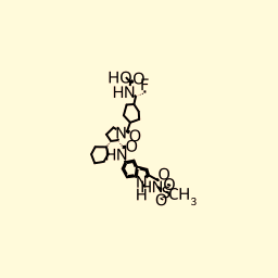 CS(=O)(=O)NC(=O)c1cc2cc(NC(=O)[C@@H]3[C@H](C4CCCCC4)CCN3C(=O)C3CCC([C@@H](CF)NC(=O)O)CC3)ccc2[nH]1